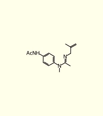 C=C(C)CN=C(C)N(C)c1ccc(NC(C)=O)cc1